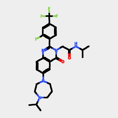 CC(C)NC(=O)Cn1c(-c2ccc(C(F)(F)F)cc2F)nc2ccc(N3CCCN(C(C)C)CC3)cc2c1=O